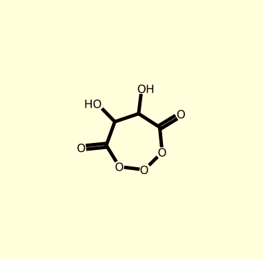 O=C1OOOC(=O)C(O)C1O